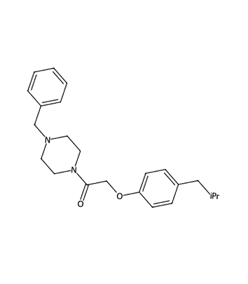 CC(C)Cc1ccc(OCC(=O)N2CCN(Cc3ccccc3)CC2)cc1